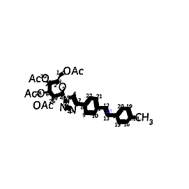 CC(=O)OC[C@H]1OC(n2cc(-c3ccc(/C=C/c4ccc(C)cc4)cc3)nn2)[C@H](OC(C)=O)[C@@H](OC(C)=O)[C@@H]1OC(C)=O